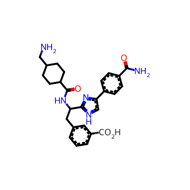 NCC1CCC(C(=O)NC(Cc2cccc(C(=O)O)c2)c2nc(-c3ccc(C(N)=O)cc3)c[nH]2)CC1